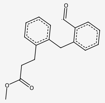 COC(=O)CCc1ccccc1Cc1ccccc1[C]=O